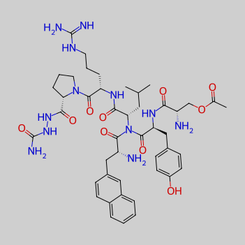 CC(=O)OC[C@H](N)C(=O)N[C@@H](Cc1ccc(O)cc1)C(=O)N(C(=O)[C@H](N)Cc1ccc2ccccc2c1)[C@@H](CC(C)C)C(=O)N[C@@H](CCCNC(=N)N)C(=O)N1CCC[C@H]1C(=O)NNC(N)=O